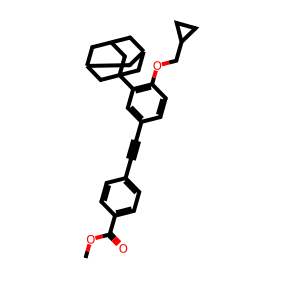 COC(=O)c1ccc(C#Cc2ccc(OCC3CC3)c(C34CC5CC(CC(C5)C3)C4)c2)cc1